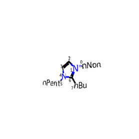 CCCCCCCCC[n+]1ccn(CCCCC)c1CCCC